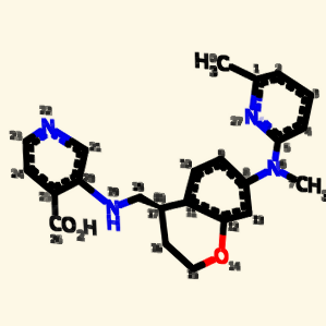 Cc1cccc(N(C)c2ccc3c(c2)OCC[C@H]3CNc2cnccc2C(=O)O)n1